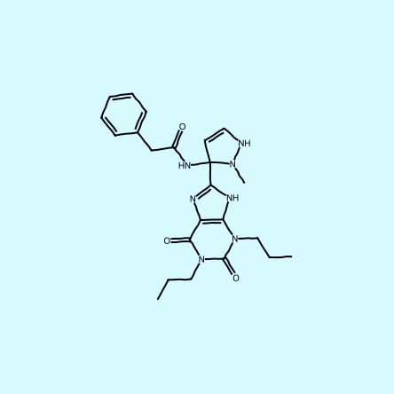 CCCn1c(=O)c2nc(C3(NC(=O)Cc4ccccc4)C=CNN3C)[nH]c2n(CCC)c1=O